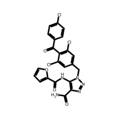 NC(=O)c1nnn(Cc2cc(Cl)c(C(=O)c3ccc(Cl)cc3)c(Cl)c2)c1NC(=O)c1ccco1